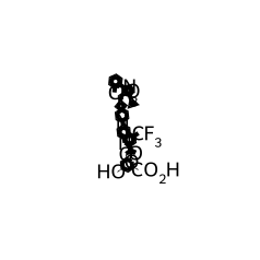 O=C(O[C@H]1C[C@@H](O)C[C@@H](C(=O)O)O1)c1cc(C(F)(F)F)c2cc(N3CCC4(CC3)CC(Cc3c(-c5ccccc5C(F)(F)F)noc3C3CC3)C4)ccc2n1